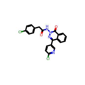 O=C(Cc1ccc(Cl)cc1)Nn1nc(-c2ccc(Cl)nc2)c2ccccc2c1=O